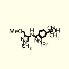 COCc1nn(C)cc1Nc1nn(C(C)C)c2cc(C(C)(C)O)ccc12